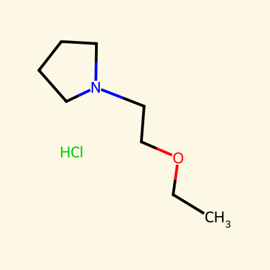 CCOCCN1CCCC1.Cl